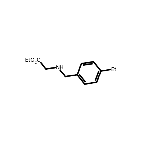 CCOC(=O)CNCc1ccc(CC)cc1